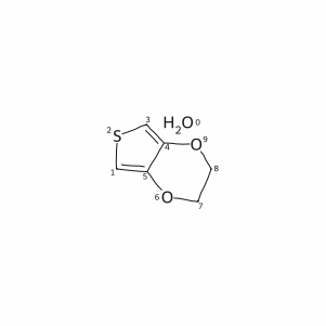 O.c1scc2c1OCCO2